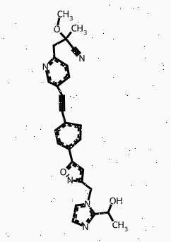 COC(C)(C#N)Cc1ccc(C#Cc2ccc(-c3cc(Cn4ccnc4C(C)O)no3)cc2)cn1